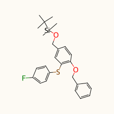 CC(C)(C)[Si](C)(C)OCc1ccc(OCc2ccccc2)c(Sc2ccc(F)cc2)c1